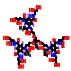 CC(=O)N(CC(O)COCC(C)(COCC(O)CN(C(C)=O)c1c(I)c(C(=O)NCC(O)CO)c(I)c(C(=O)NCC(O)CO)c1I)COCC(O)CN(C(C)=O)c1c(I)c(C(=O)NCC(O)CO)c(I)c(C(=O)NCC(O)CO)c1I)c1c(I)c(C(=O)NCC(O)CO)c(I)c(C(=O)NCC(O)CO)c1I